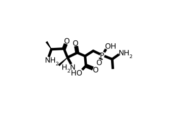 CC(N)P(=O)(O)CC(C(=O)O)C(=O)[C@](C)(N)C(=O)[C@H](C)N